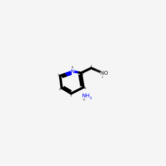 N.O=NCc1ccccn1